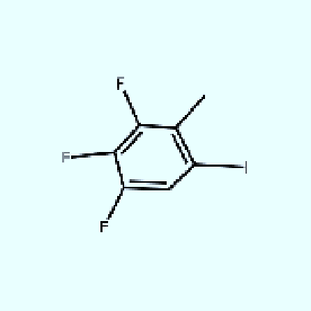 Cc1c(I)cc(F)c(F)c1F